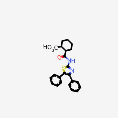 O=C(O)C1CCCCC1C(=O)Nc1nc(-c2ccccc2)c(-c2ccccc2)s1